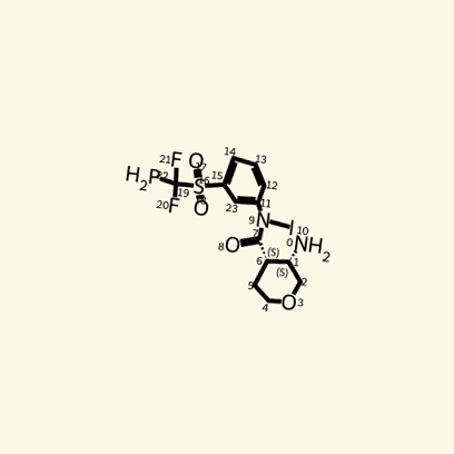 N[C@@H]1COCC[C@@H]1C(=O)N(I)c1cccc(S(=O)(=O)C(F)(F)P)c1